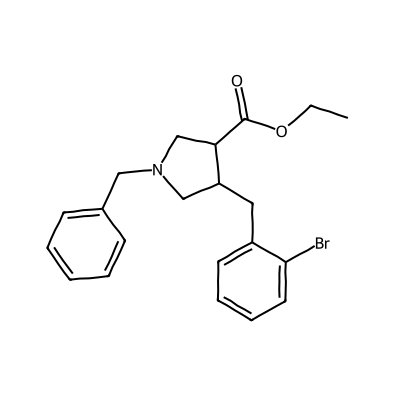 CCOC(=O)C1CN(Cc2ccccc2)CC1Cc1ccccc1Br